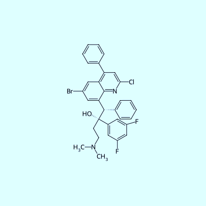 CN(C)CC[C@](O)(c1cc(F)cc(F)c1)[C@@H](c1ccccc1)c1cc(Br)cc2c(-c3ccccc3)cc(Cl)nc12